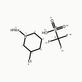 CCCCCCN1CCCC(CC)C1.O=S(=O)(O)C(F)(F)F